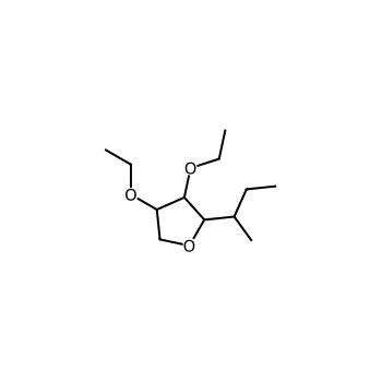 CCOC1COC(C(C)CC)C1OCC